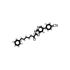 N#Cc1ccc(-c2cnc3nc(C(=O)CCCCCc4ccccc4)oc3c2)cc1